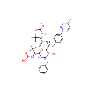 COC(=O)N[C@H](C(=O)N[C@@H](Cc1ccc(-c2ccc(C)cn2)cc1)C[C@H](O)[C@H](Cc1ccccc1)NC(=O)[C@@H](NC(=O)O)C(C)(C)C)C(C)(C)C